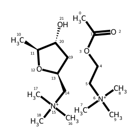 CC(=O)OCC[N+](C)(C)C.C[C@@H]1O[C@H](C[N+](C)(C)C)C[C@H]1O